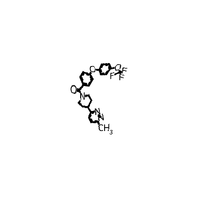 Cc1ccc(C2CCN(C(=O)c3ccc(Oc4ccc(OC(F)(F)F)cc4)cc3)CC2)nn1